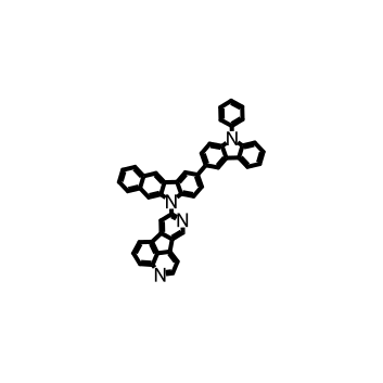 c1ccc(-n2c3ccccc3c3cc(-c4ccc5c(c4)c4cc6ccccc6cc4n5-c4cc5c(cn4)-c4ccnc6cccc-5c46)ccc32)cc1